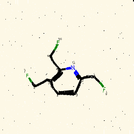 FCc1ccc(CF)c(CF)n1